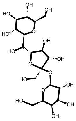 OC[C@H]1O[C@@H](O[C@@]2(CO)O[C@H](C(O)[C@@H]3O[C@H](CO)[C@@H](O)[C@H](O)[C@H]3O)[C@@H](O)[C@@H]2O)[C@H](O)[C@@H](O)[C@H]1O